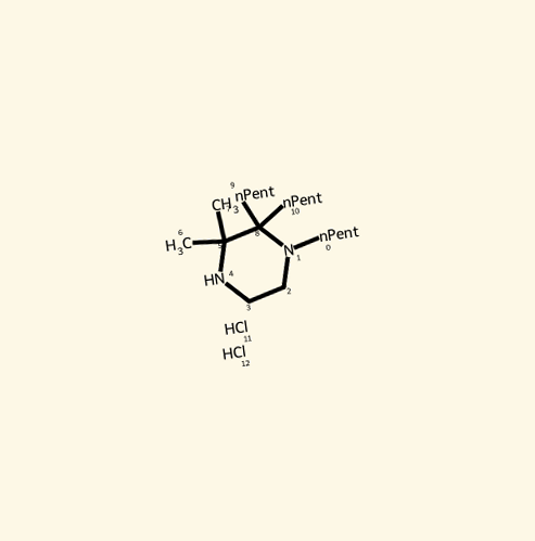 CCCCCN1CCNC(C)(C)C1(CCCCC)CCCCC.Cl.Cl